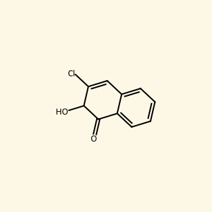 O=C1c2ccccc2C=C(Cl)C1O